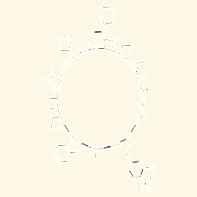 CC[C@H](C)[C@H]1CN[C@@H](C2CCCC2)C(C)NCC2[C@@H](C(=O)N3CCCCC3)C(C)N2[C@@H](C(C)C)C(C)NC2(CCCC2)CNCCNC=CC(CCc2ccc(C(F)(F)F)c(Cl)c2)=NC=CN(C)C=C(CC2CCCCC2)N(C)C=C2CCCN2[C@@H](C)C(C)N1